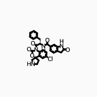 O=C1Cc2ccc(C(=O)N[C@@H](Cc3ccccc3)C(=O)N3C(=O)OC4(CCNC4)c4cc(Cl)ccc43)cc2N1